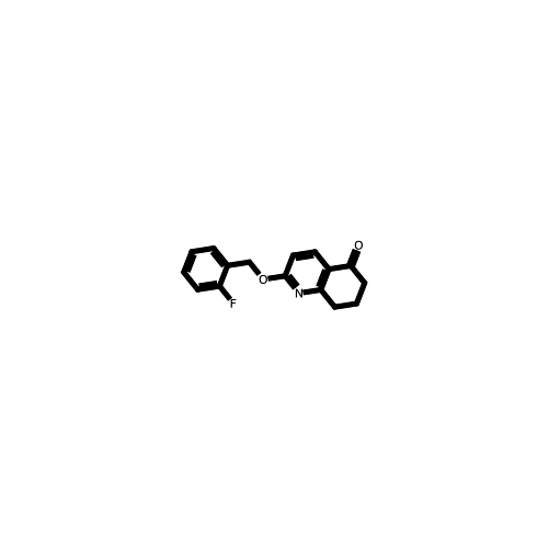 O=C1CCCc2nc(OCc3ccccc3F)ccc21